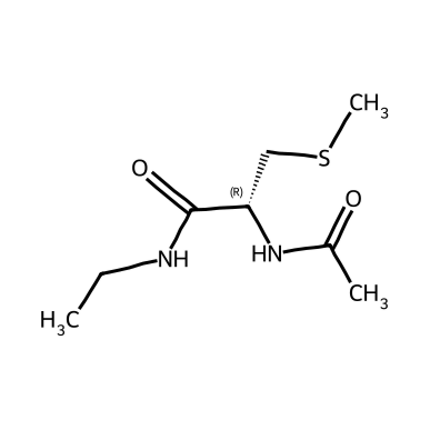 CCNC(=O)[C@H](CSC)NC(C)=O